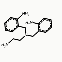 NCCN(Cc1ccccc1N)Cc1ccccc1N